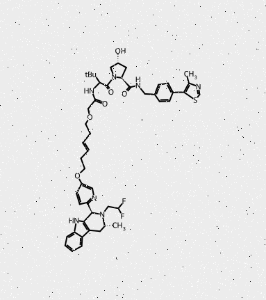 Cc1ncsc1-c1ccc(CNC(=O)[C@@H]2C[C@@H](O)CN2C(=O)C(NC(=O)COCC/C=C/CCOc2ccc([C@@H]3c4[nH]c5ccccc5c4C[C@@H](C)N3CC(F)F)nc2)C(C)(C)C)cc1